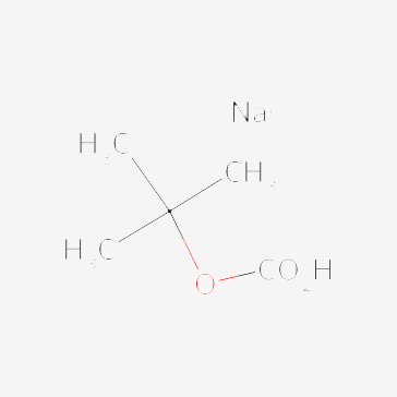 CC(C)(C)OC(=O)O.[Na]